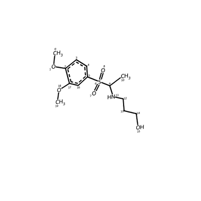 COc1ccc(S(=O)(=O)C(C)NCCCO)cc1OC